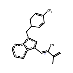 C=C(C)/C(C#N)=C/c1cn(CC2C=CC(C(F)(F)F)=CC2)c2ncccc12